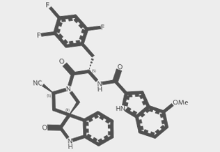 COc1cccc2[nH]c(C(=O)N[C@@H](Cc3cc(F)c(F)cc3F)C(=O)N3C[C@]4(C[C@H]3C#N)C(=O)Nc3ccccc34)cc12